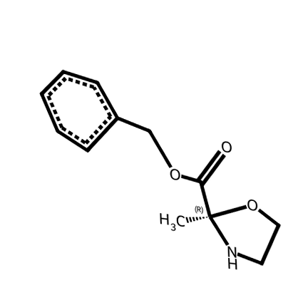 C[C@@]1(C(=O)OCc2ccccc2)NCCO1